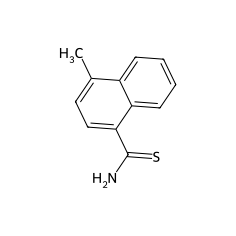 Cc1ccc(C(N)=S)c2ccccc12